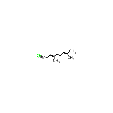 CC(C)=CCC/C(C)=C/[CH2][Mg][Cl]